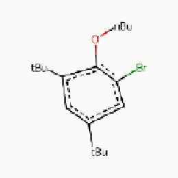 CCCCOc1c(Br)cc(C(C)(C)C)cc1C(C)(C)C